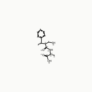 CC(c1ccccc1)C(CS)C(=O)N[C@@H](C)C(=O)O